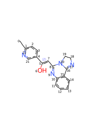 Cc1ccc(/C(O)=C/C2=Nc3ccccc3C3=NCCN23)cn1